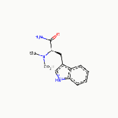 CC(C)(C)N(C(=O)O)[C@H](Cc1c[nH]c2ccccc12)C(N)=O